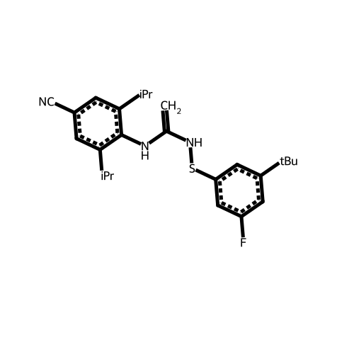 C=C(NSc1cc(F)cc(C(C)(C)C)c1)Nc1c(C(C)C)cc(C#N)cc1C(C)C